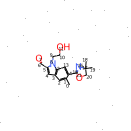 Cc1cc2cc(C=O)n(CCO)c2cc1C1=NC(C)(C)CO1